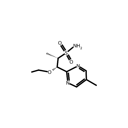 CCO[C@@H](c1ncc(C)cn1)[C@H](C)S(N)(=O)=O